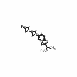 CCCCC(C)c1nc2ccc(N3CC(N4CC(F)C4)C3)cn2n1